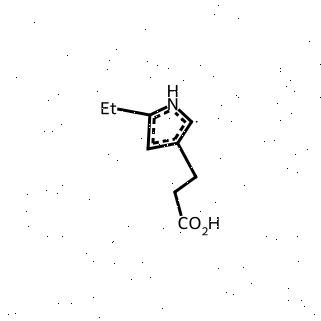 CCc1cc(CCC(=O)O)[c][nH]1